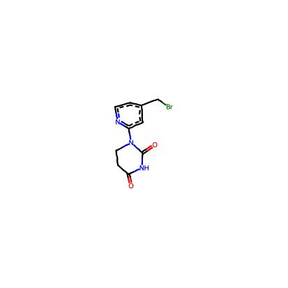 O=C1CCN(c2cc(CBr)ccn2)C(=O)N1